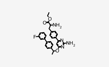 CCOC(=O)[C@@H](N)Cc1ccc(-c2cc(OC(C)c3ccc(-c4cccc(F)c4)cc3)nc(N)n2)cc1